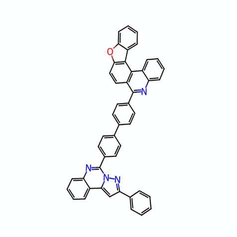 c1ccc(-c2cc3c4ccccc4nc(-c4ccc(-c5ccc(-c6nc7ccccc7c7c6ccc6oc8ccccc8c67)cc5)cc4)n3n2)cc1